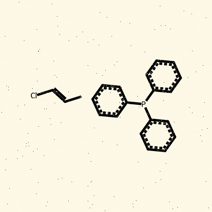 CC=CCl.c1ccc(P(c2ccccc2)c2ccccc2)cc1